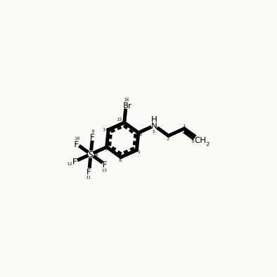 C=CCNc1ccc(S(F)(F)(F)(F)F)cc1Br